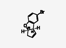 Brc1ccc2c(c1)[C@H]1C=CC[C@H]1O2